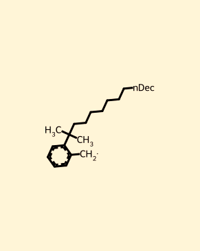 [CH2]c1ccccc1C(C)(C)CCCCCCCCCCCCCCCCC